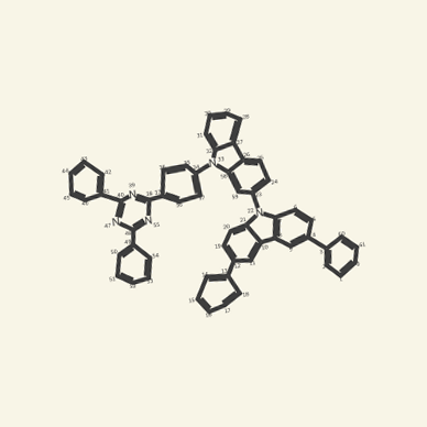 c1ccc(-c2ccc3c(c2)c2cc(-c4ccccc4)ccc2n3-c2ccc3c4ccccc4n(-c4ccc(-c5nc(-c6ccccc6)nc(-c6ccccc6)n5)cc4)c3c2)cc1